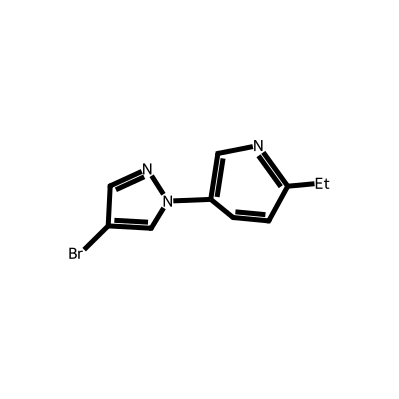 CCc1ccc(-n2cc(Br)cn2)cn1